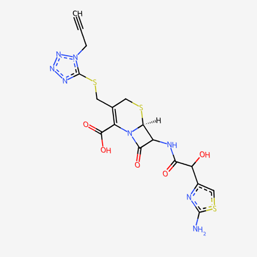 C#CCn1nnnc1SCC1=C(C(=O)O)N2C(=O)C(NC(=O)C(O)c3csc(N)n3)[C@@H]2SC1